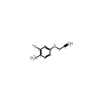 C#CCOc1ccc([N+](=O)[O-])c(F)c1